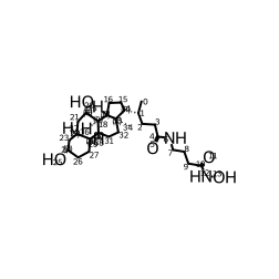 CC(CCC(=O)NCCCC(=O)NO)[C@H]1CC[C@H]2[C@@H]3[C@@H](O)C[C@@H]4C[C@H](O)CC[C@]4(C)[C@H]3CC[C@]12C